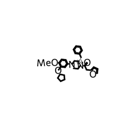 COc1ccc(N2CCN(C(=O)Cc3ccco3)[C@@H](Cc3ccccc3)C2)cc1OC1CCCC1